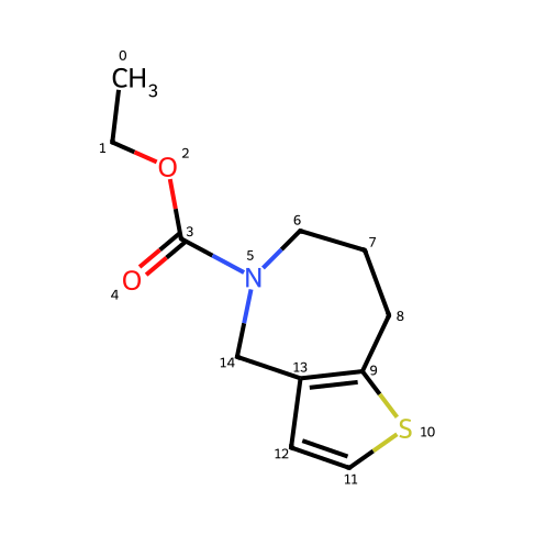 CCOC(=O)N1CCCc2sccc2C1